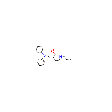 CCCCCN1CC[C@@H](CCN(c2ccccc2)c2ccccc2)[C@@H](OC)C1